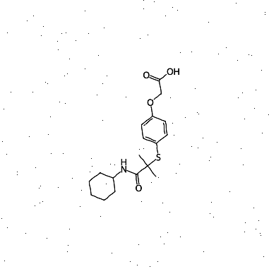 CC(C)(Sc1ccc(OCC(=O)O)cc1)C(=O)NC1CCCCC1